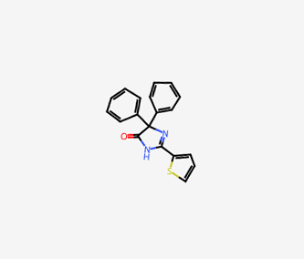 O=C1NC(c2cccs2)=NC1(c1ccccc1)c1ccccc1